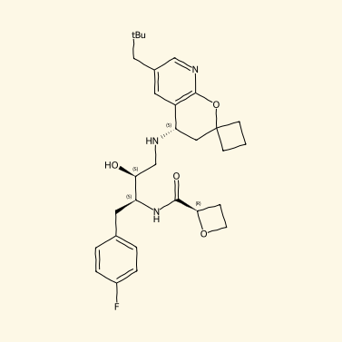 CC(C)(C)Cc1cnc2c(c1)[C@@H](NC[C@H](O)[C@H](Cc1ccc(F)cc1)NC(=O)[C@H]1CCO1)CC1(CCC1)O2